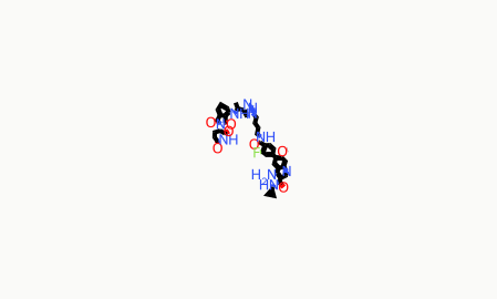 COc1cc2ncc(C(=O)NC3CC3)c(N)c2cc1-c1ccc(C(=O)NCCCCn2cc(C(C)Nc3cccc4c3C(=O)N(C3CCC(=O)NC3=O)C4=O)nn2)c(F)c1